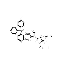 COc1ccc(C(Nc2ncnc3c2ncn3[C@@H]2O[C@H](C(C)O)[C@H]3OC(OC)O[C@]32C)(c2ccccc2)c2ccccc2)cc1